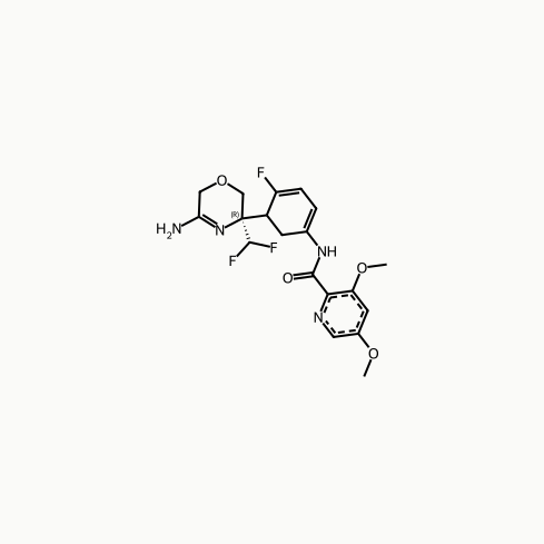 COc1cnc(C(=O)NC2=CC=C(F)C([C@]3(C(F)F)COCC(N)=N3)C2)c(OC)c1